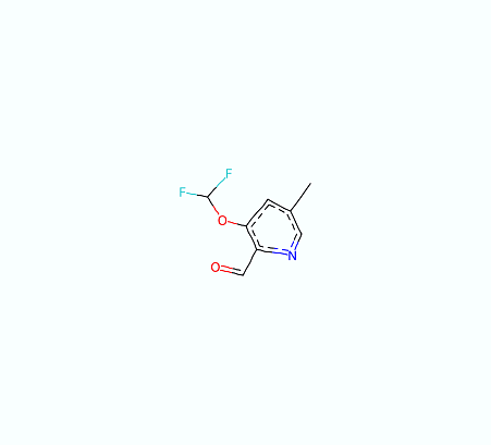 Cc1cnc(C=O)c(OC(F)F)c1